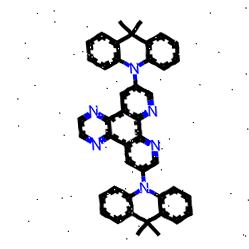 CC1(C)c2ccccc2N(c2cnc3c(c2)c2nccnc2c2cc(N4c5ccccc5C(C)(C)c5ccccc54)cnc23)c2ccccc21